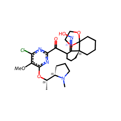 COc1c(Cl)nc(C(=O)C2CCC[C@@]3(CCCCC34OCCO4)/C2=N/O)nc1O[C@@H](C)[C@@H]1CCCN1C